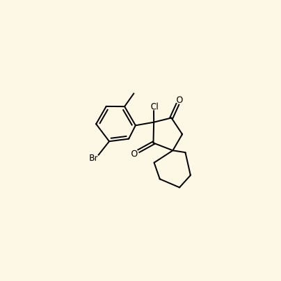 Cc1ccc(Br)cc1C1(Cl)C(=O)CC2(CCCCC2)C1=O